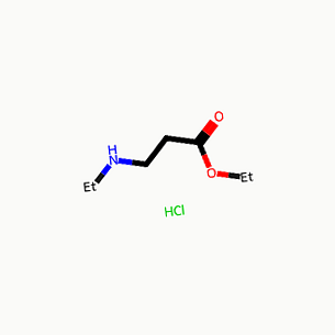 CCNCCC(=O)OCC.Cl